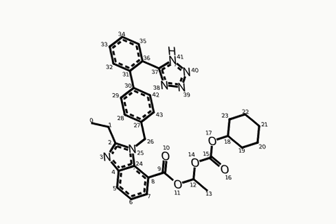 CCc1nc2cccc(C(=O)OC(C)OC(=O)OC3CCCCC3)c2n1Cc1ccc(-c2ccccc2-c2nnn[nH]2)cc1